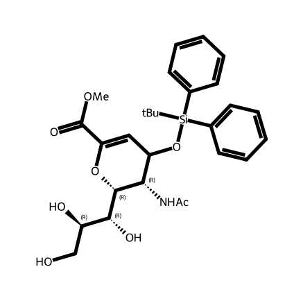 COC(=O)C1=CC(O[Si](c2ccccc2)(c2ccccc2)C(C)(C)C)[C@H](NC(C)=O)[C@H]([C@H](O)[C@H](O)CO)O1